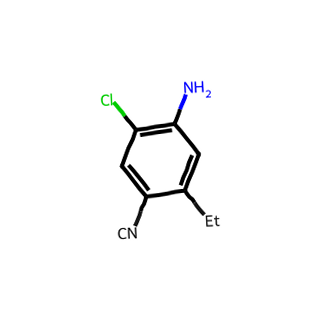 [C-]#[N+]c1cc(Cl)c(N)cc1CC